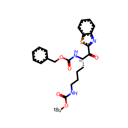 CC(C)(C)OC(=O)NCCCC[C@H](NC(=O)OCc1ccccc1)C(=O)c1nc2ccccc2s1